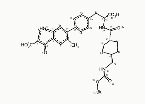 Cc1cc2c(=O)c(C(=O)O)c[nH]c2cc1-c1ccc(C[C@H](NC(=O)[C@H]2CC[C@H](CNC(=O)OC(C)(C)C)CC2)C(=O)O)cc1